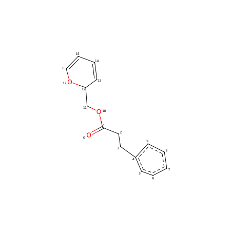 O=C(CCc1ccccc1)OCC1C=CC=CO1